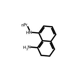 CCCNc1cccc2c1=C(N)CCC=2